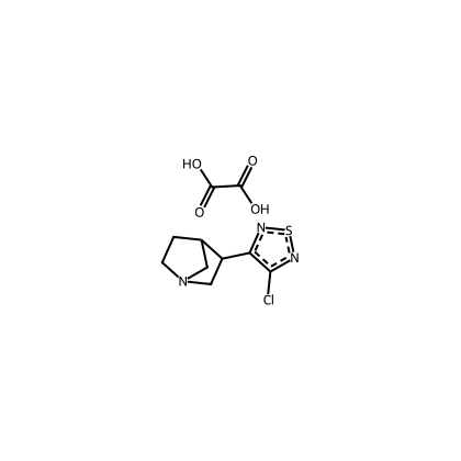 Clc1nsnc1C1CN2CCC1C2.O=C(O)C(=O)O